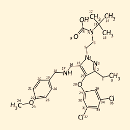 CCc1nn(CCN(C(=O)O)C(C)(C)C)c(CNCc2ccc(OC)cc2)c1Oc1cc(Cl)cc(Cl)c1